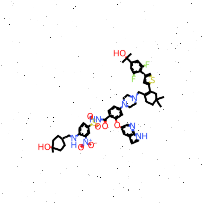 CC1(C)CCC(CN2CCN(c3ccc(C(=O)NS(=O)(=O)c4ccc(NCC5CCC(C)(O)CC5)c([N+](=O)[O-])c4)c(Oc4cnc5[nH]ccc5c4)c3)CC2)=C(c2cc(-c3c(F)cc(C(C)(C)O)cc3F)cs2)C1